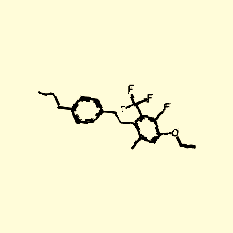 CCCc1ccc(CCc2c(C)cc(OCC)c(F)c2C(F)(F)F)cc1